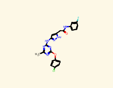 Cc1nc(Nc2cc(CC(=O)Nc3cccc(F)c3)[nH]n2)nc(Oc2ccc(Cl)cc2)n1